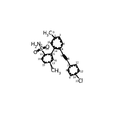 Cc1ccc(C#Cc2ccc(Cl)cc2)c(-c2cc(C)ccc2S(N)(=O)=O)c1